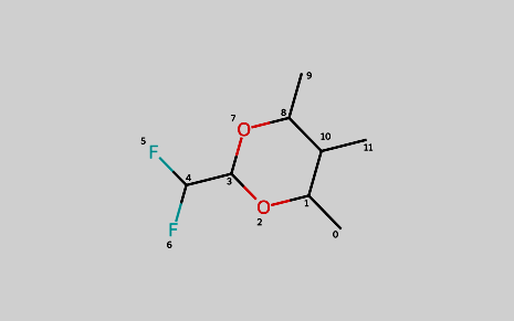 CC1OC(C(F)F)OC(C)C1C